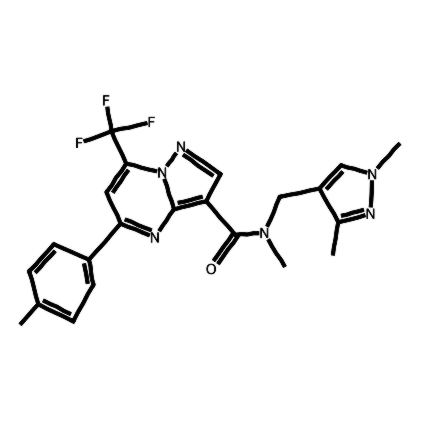 Cc1ccc(-c2cc(C(F)(F)F)n3ncc(C(=O)N(C)Cc4cn(C)nc4C)c3n2)cc1